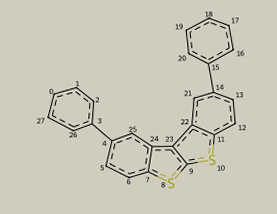 c1ccc(-c2ccc3sc4sc5ccc(-c6ccccc6)cc5c4c3c2)cc1